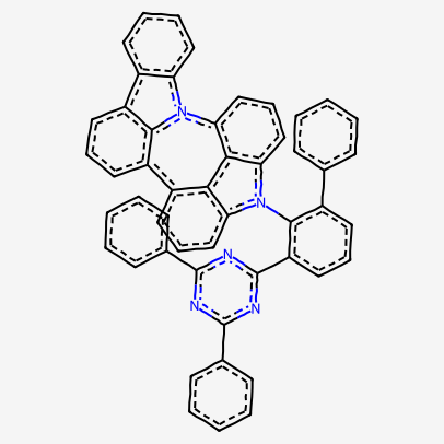 c1ccc(-c2nc(-c3ccccc3)nc(-c3cccc(-c4ccccc4)c3-n3c4cccc5c6cccc7c8ccccc8n(c8cccc3c8c54)c67)n2)cc1